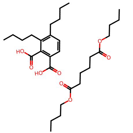 CCCCOC(=O)CCCCC(=O)OCCCC.CCCCc1ccc(C(=O)O)c(C(=O)O)c1CCCC